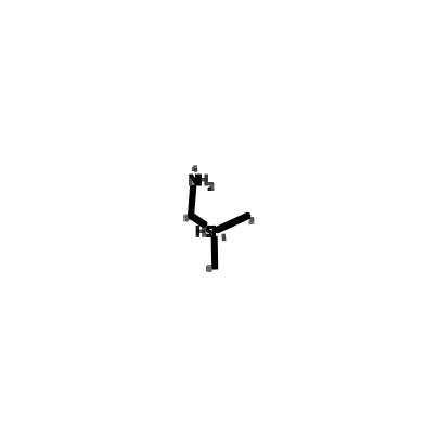 C[SiH](C)[CH]N